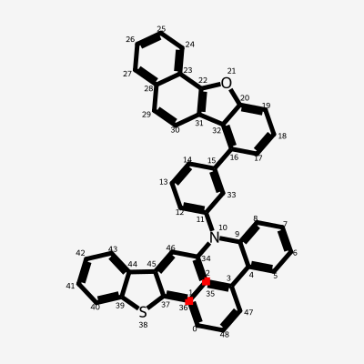 c1ccc(-c2ccccc2N(c2cccc(-c3cccc4oc5c6ccccc6ccc5c34)c2)c2ccc3sc4ccccc4c3c2)cc1